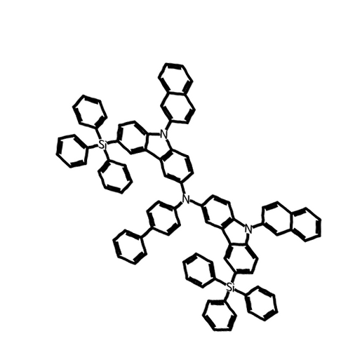 c1ccc(-c2ccc(N(c3ccc4c(c3)c3cc([Si](c5ccccc5)(c5ccccc5)c5ccccc5)ccc3n4-c3ccc4ccccc4c3)c3ccc4c(c3)c3cc([Si](c5ccccc5)(c5ccccc5)c5ccccc5)ccc3n4-c3ccc4ccccc4c3)cc2)cc1